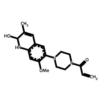 C=CC(=O)N1CCN(c2cc3c(cc2OC)NC(O)C(C)=C3)CC1